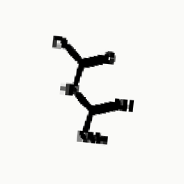 CCC(=O)NC(=N)NC